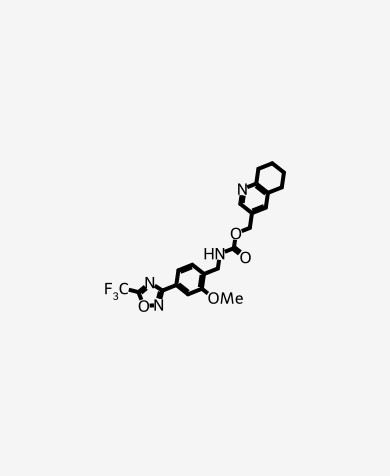 COc1cc(-c2noc(C(F)(F)F)n2)ccc1CNC(=O)OCc1cnc2c(c1)CCCC2